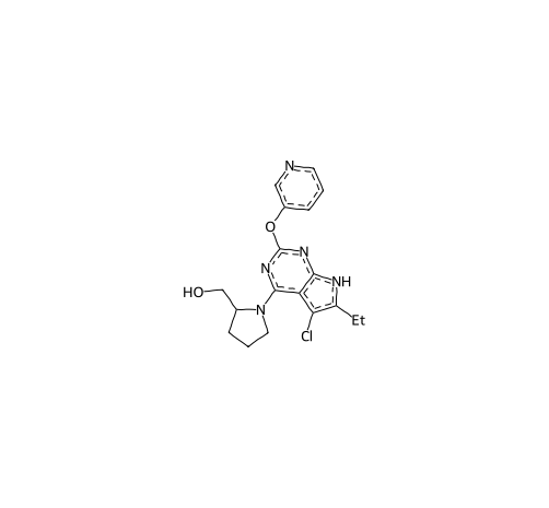 CCc1[nH]c2nc(Oc3cccnc3)nc(N3CCCC3CO)c2c1Cl